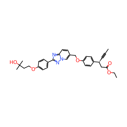 CC#C[C@@H](CC(=O)OCC)c1ccc(OCc2ccc3nc(-c4ccc(OCCC(C)(C)O)cc4)nn3c2)cc1